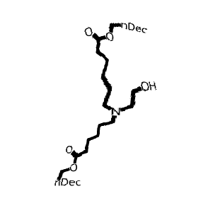 CCCCCCCCCCCOC(=O)CCCCCN(CCO)CCCCCC(=O)OCCCCCCCCCCC